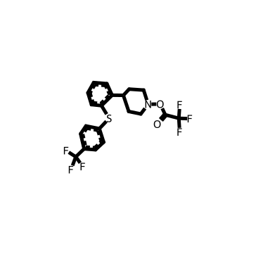 O=C(ON1CCC(c2ccccc2Sc2ccc(C(F)(F)F)cc2)CC1)C(F)(F)F